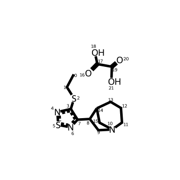 CCSc1nsnc1C1CN2CCCC1C2.O=C(O)C(=O)O